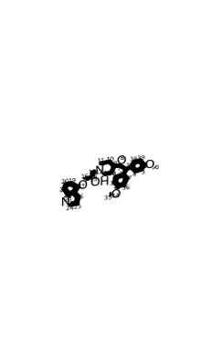 COc1ccc(C(C(=O)C2CCN(CC(O)COc3cccc4ncccc34)CC2)c2ccc(OC)cc2)cc1